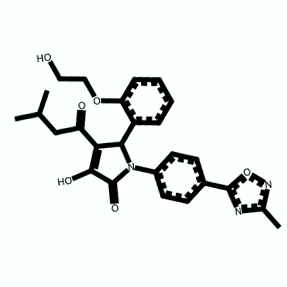 Cc1noc(-c2ccc(N3C(=O)C(O)=C(C(=O)CC(C)C)C3c3ccccc3OCCO)cc2)n1